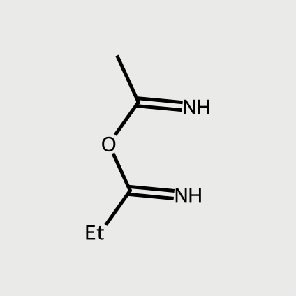 CCC(=N)OC(C)=N